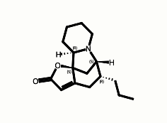 CCC[C@@H]1CC2=CC(=O)O[C@@]23C[C@@H]1N1CCCC[C@@H]13